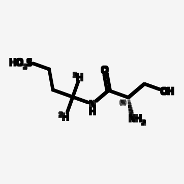 [2H]C([2H])(CCS(=O)(=O)O)NC(=O)[C@@H](N)CO